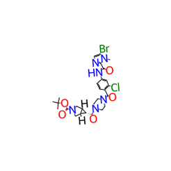 Cn1c(Br)cnc1C(=O)Nc1ccc(C(=O)N2CCN(C(=O)[C@@H]3[C@@H]4CN(C(=O)OC(C)(C)C)C[C@@H]43)CC2)c(Cl)c1